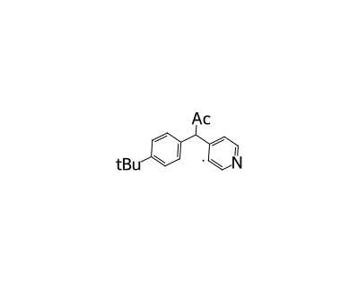 CC(=O)C(c1[c]cncc1)c1ccc(C(C)(C)C)cc1